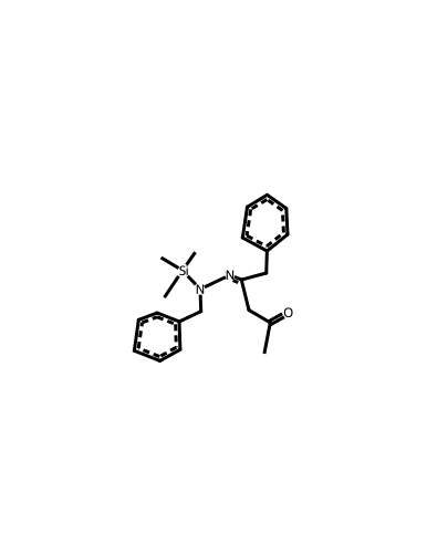 CC(=O)CC(Cc1ccccc1)=NN(Cc1ccccc1)[Si](C)(C)C